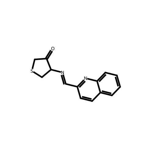 O=C1CSCC1N=Cc1ccc2ccccc2n1